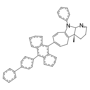 C[C@]12CCC=NC1N(c1ccccc1)C1=C2CC=C(c2c3ccccc3c(-c3ccc(-c4ccccc4)cc3)c3ccccc23)C=C1